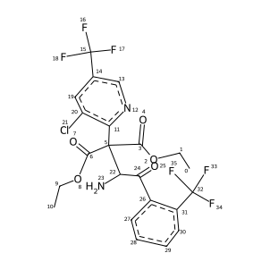 CCOC(=O)C(C(=O)OCC)(c1ncc(C(F)(F)F)cc1Cl)C(N)C(=O)c1ccccc1C(F)(F)F